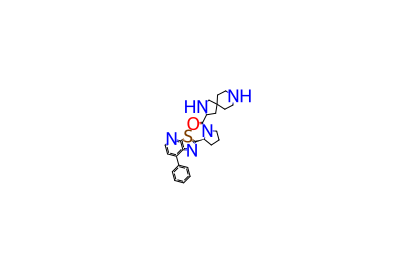 O=C(C1CC2(CCNCC2)CN1)N1CCC[C@H]1c1nc2c(-c3ccccc3)ccnc2s1